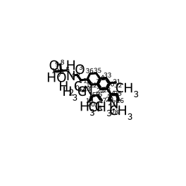 C=C(C(=O)NCC1(O)COC1)C1=C(N(C)C(/C=C\C)=C/C)c2cc(-c3ccn(C)c3)c(CC)cc2CC1